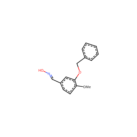 COc1ccc(/C=N/O)cc1OCc1ccccc1